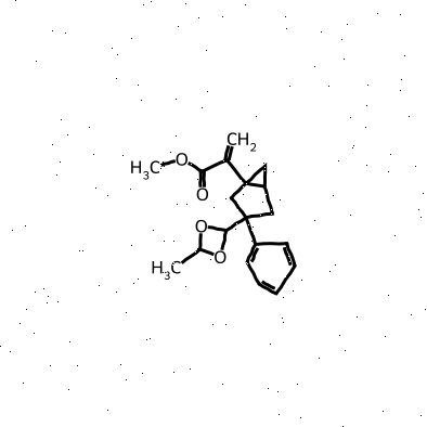 C=C(C(=O)OC)C12CC1CC(c1ccccc1)(C1OC(C)O1)C2